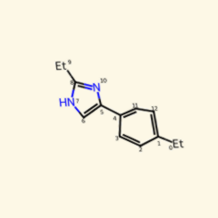 CCc1ccc(-c2c[nH]c(CC)n2)cc1